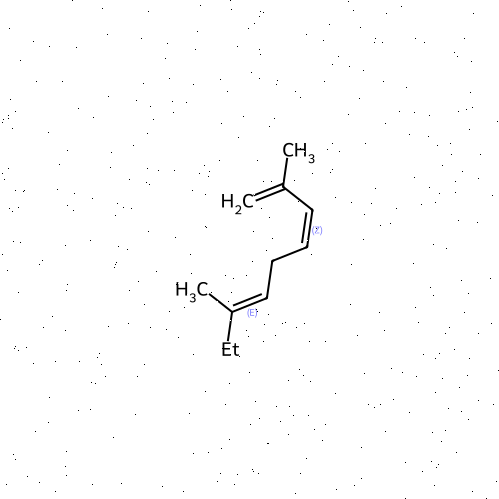 C=C(C)/C=C\C/C=C(\C)CC